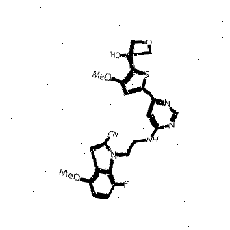 COc1cc(-c2cc(NCCn3c(C#N)cc4c(OC)ccc(F)c43)ncn2)sc1C1(O)COC1